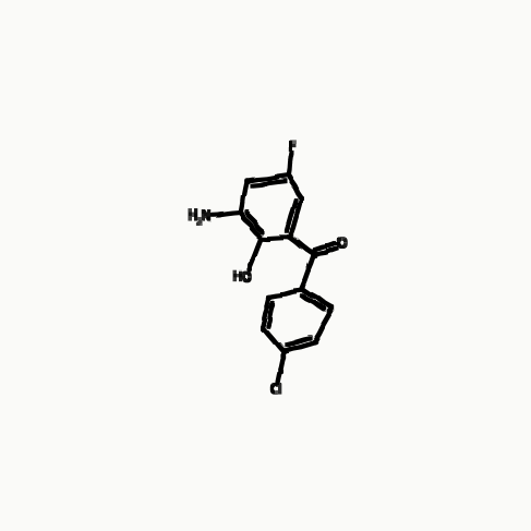 Nc1cc(F)cc(C(=O)c2ccc(Cl)cc2)c1O